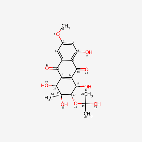 COc1cc(O)c2c(c1)C(=O)C1=C(C2=O)[C@@H](O)[C@H](OC(C)(C)O)[C@@](C)(O)[C@@H]1O